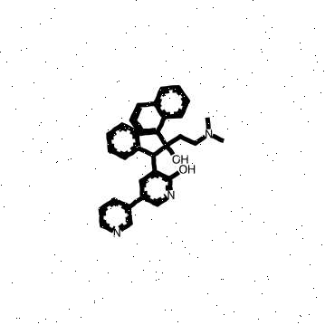 CN(C)CCC(O)(C1=C=C=Cc2ccccc21)C(c1ccccc1)c1cc(-c2cccnc2)cnc1O